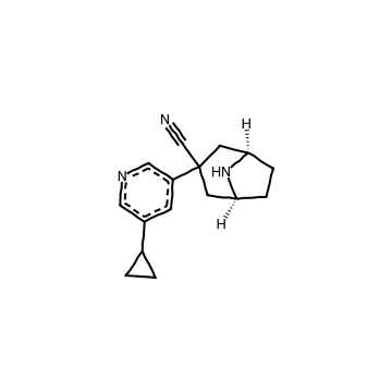 N#CC1(c2cncc(C3CC3)c2)C[C@H]2CC[C@@H](C1)N2